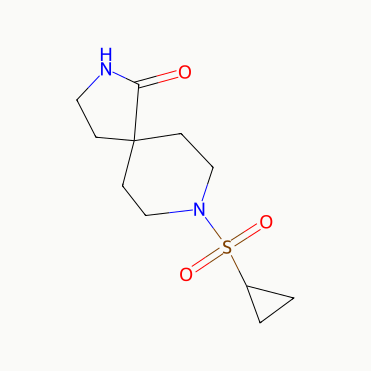 O=C1NCCC12CCN(S(=O)(=O)C1CC1)CC2